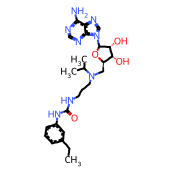 CCc1cccc(NC(=O)NCCCN(C[C@H]2OC(n3cnc4c(N)ncnc43)[C@H](O)[C@@H]2O)C(C)C)c1